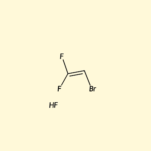 F.FC(F)=CBr